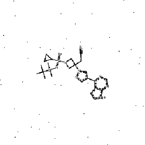 CC(C)(C)[Si](C)(C)N=S(=O)(C1CC1)N1CC(CC#N)(n2cc(-c3ncnc4[nH]ccc34)cn2)C1